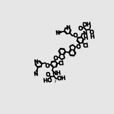 C[C@@H](O)[C@H](NCc1cc(Cl)c(O[C@H]2CCc3c(-c4cccc5c4CC[C@@H]5Oc4cc(OCc5cncc(C#N)c5)c(CN[C@H](C(=O)O)[C@@H](C)O)cc4Cl)cccc32)cc1OCc1cncc(C#N)c1)C(=O)O